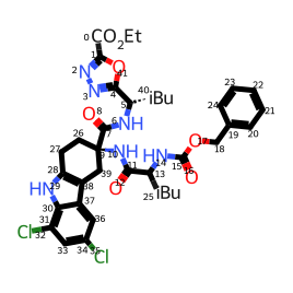 CCOC(=O)c1nnc(C(NC(=O)[C@@]2(NC(=O)C(NC(=O)OCc3ccccc3)C(C)CC)CCc3[nH]c4c(Cl)cc(Cl)cc4c3C2)[C@@H](C)CC)o1